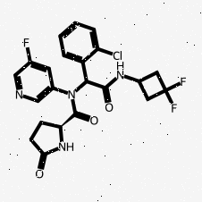 O=C1CC[C@@H](C(=O)N(c2cncc(F)c2)C(C(=O)NC2CC(F)(F)C2)c2ccccc2Cl)N1